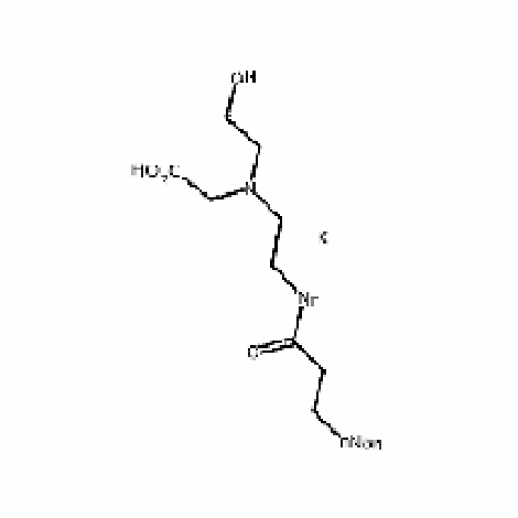 CCCCCCCCCCCC(=O)NCCN(CCO)CC(=O)O.[K]